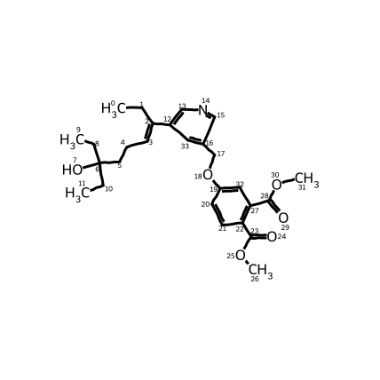 CCC(=CCCC(O)(CC)CC)c1cncc(COc2ccc(C(=O)OC)c(C(=O)OC)c2)c1